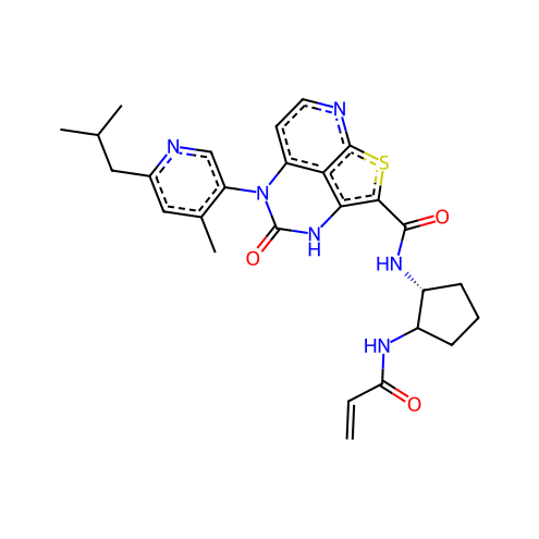 C=CC(=O)NC1CCC[C@H]1NC(=O)c1sc2nccc3c2c1NC(=O)N3c1cnc(CC(C)C)cc1C